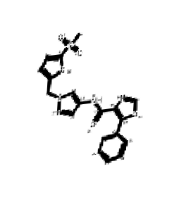 CS(=O)(=O)c1ccc(Cn2cc(NC(=O)c3ncoc3-c3ccccc3)cn2)o1